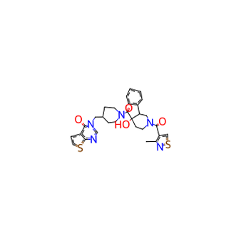 Cc1nscc1C(=O)N1CCC(O)(C(=O)N2CCC(Cn3cnc4sccc4c3=O)CC2)C(c2ccccc2)C1